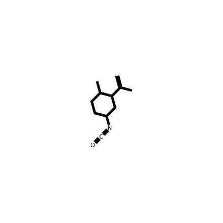 C=C(C)C1CC(N=C=O)CCC1C